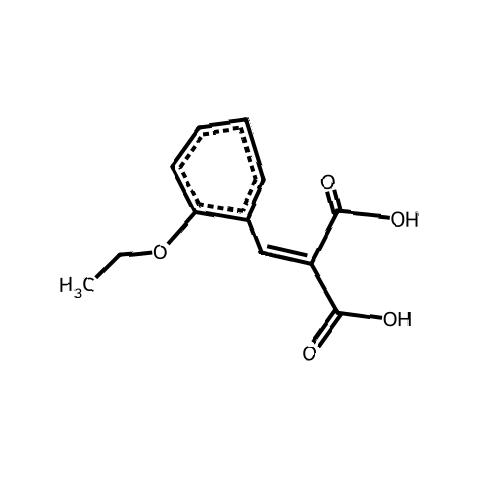 CCOc1ccccc1C=C(C(=O)O)C(=O)O